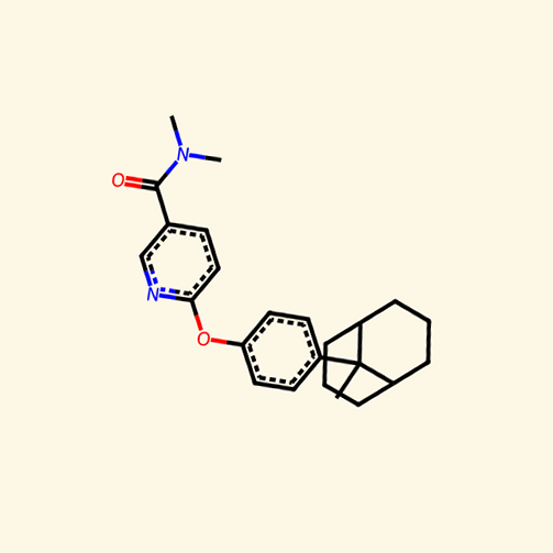 CN(C)C(=O)c1ccc(Oc2ccc(C3(C)C4CCCC3CCC4)cc2)nc1